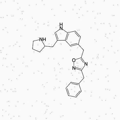 c1ccc(Cc2noc(Cc3ccc4[nH]cc(CC5CCCN5)c4c3)n2)cc1